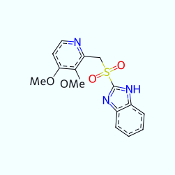 COc1ccnc(CS(=O)(=O)c2nc3ccccc3[nH]2)c1OC